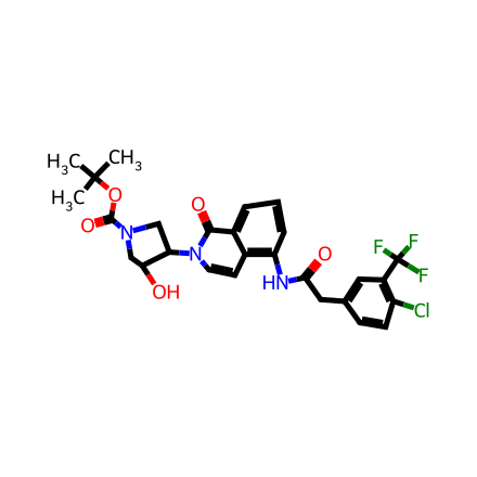 CC(C)(C)OC(=O)N1CC(O)C(n2ccc3c(NC(=O)Cc4ccc(Cl)c(C(F)(F)F)c4)cccc3c2=O)C1